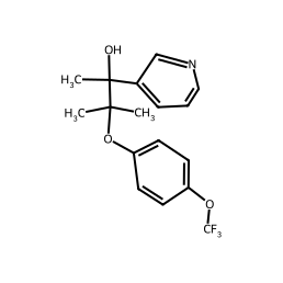 CC(C)(Oc1ccc(OC(F)(F)F)cc1)C(C)(O)c1cccnc1